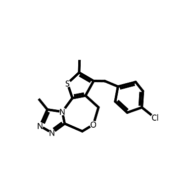 Cc1sc2c(c1Cc1ccc(Cl)cc1)COCc1nnc(C)n1-2